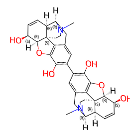 CN1CC[C@]23c4c5cc(-c6cc7c8c(c6O)O[C@H]6[C@@H](O)C=C[C@H]9[C@@H](C7)N(C)CC[C@@]896)c(O)c4O[C@H]2[C@@H](O)C=C[C@H]3[C@H]1C5